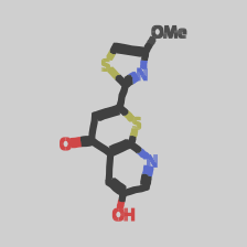 COc1csc(-c2cc(=O)c3cc(O)cnc3s2)n1